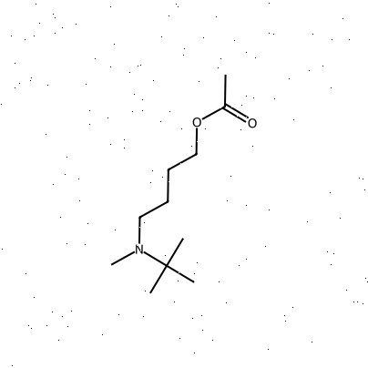 CC(=O)OCCCCN(C)C(C)(C)C